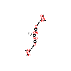 C=CC(=O)OCC(CCCCCCOc1ccc(C(=O)Oc2ccc(OC(=O)c3ccc(OCCCCCCC(COC(=O)C=C)OC(=O)C=C)cc3)c(C(F)(F)F)c2)cc1)OC(=O)C=C